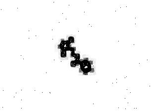 O=C(OCCN1C(=O)C=CC1=O)C1CC2C=CC1C2